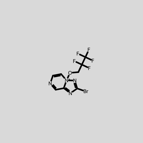 FC(F)(F)C(F)(F)CO[N+]12C=CN=CC1=NC(Br)=N2